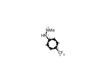 CNNc1ccc(C(F)(F)F)cc1